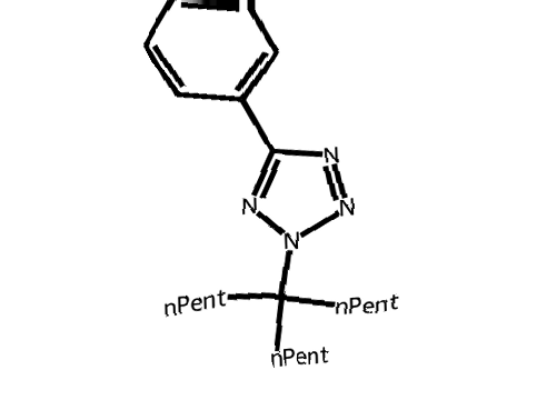 CCCCCC(CCCCC)(CCCCC)n1nnc(-c2ccccc2)n1